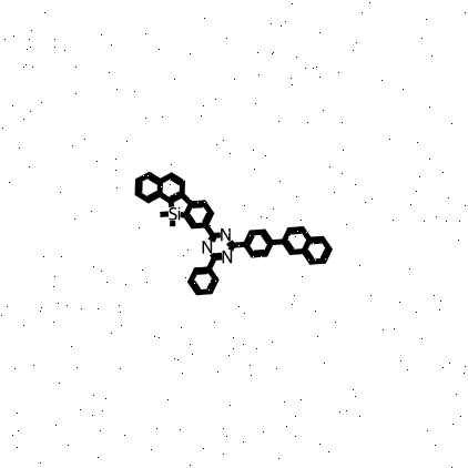 C[Si]1(C)c2cc(-c3nc(-c4ccccc4)nc(-c4ccc(-c5ccc6ccccc6c5)cc4)n3)ccc2-c2ccc3ccccc3c21